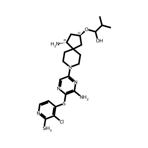 CC(C)C(O)O[C@@H]1C[C@@H](N)C2(CCN(c3cnc(Sc4ccnc([SiH3])c4Cl)c(N)n3)CC2)C1